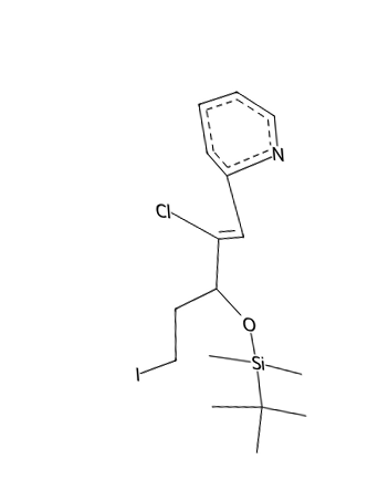 CC(C)(C)[Si](C)(C)OC(CCI)C(Cl)=Cc1ccccn1